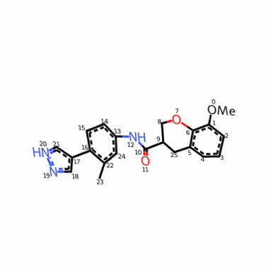 COc1cccc2c1OCC(C(=O)Nc1ccc(-c3cn[nH]c3)c(C)c1)C2